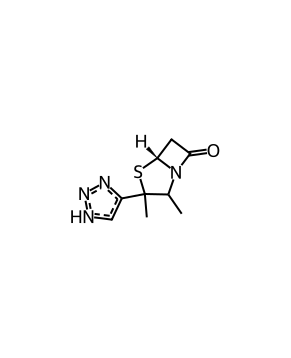 CC1N2C(=O)C[C@H]2SC1(C)c1c[nH]nn1